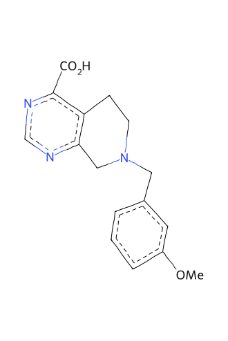 COc1cccc(CN2CCc3c(ncnc3C(=O)O)C2)c1